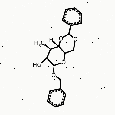 C[C@@H]1C(O)[C@H](OCc2ccccc2)OC2COC(c3ccccc3)O[C@H]21